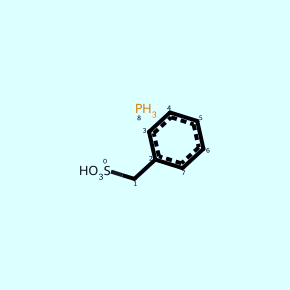 O=S(=O)(O)Cc1ccccc1.P